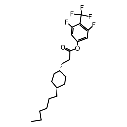 CCCCCC[C@H]1CC[C@H](CCC(=O)Oc2cc(F)c(C(F)(F)F)c(F)c2)CC1